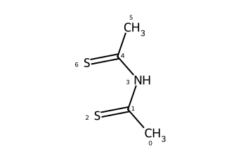 CC(=S)NC(C)=S